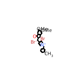 COc1cc2c(cc1OC)C(=O)C(Cc1cc[n+](Cc3cccc(C)c3)cc1Br)C2.[Br-]